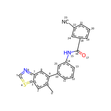 Cc1cc2scnc2cc1-c1cccc(NC(=O)c2cccc(C#N)c2)c1